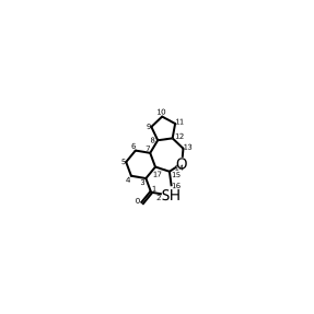 C=C(S)C1CCCC2C3CCCC3COC(C)C12